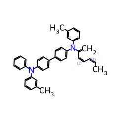 C=C(/C=C\C=C/C)N(c1ccc(-c2ccc(N(c3ccccc3)c3cccc(C)c3)cc2)cc1)c1cccc(C)c1